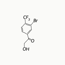 O=C(CO)c1ccc(C(F)(F)F)c(Br)c1